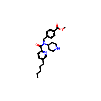 CCCCCc1ccc(C(=O)N(Cc2ccc(C(=O)OC)cc2)C2CCNCC2)nc1